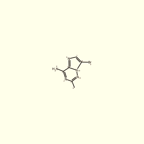 Cc1nc(N)c2ncc(Br)n2n1